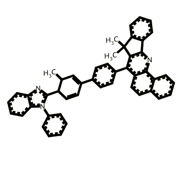 CC1C=C(c2ccc(-c3c4c(nc5c3ccc3ccccc35)-c3ccccc3C4(C)C)cc2)C=CC1c1nc2ccccc2n1-c1ccccc1